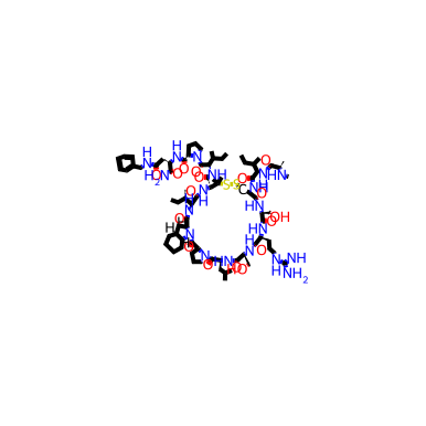 CCC(C)[C@H](NC(=O)[C@H](C)NC)C(=O)N[C@H]1CSSC(C)(C)[C@@H](C(=O)N[C@H](C(=O)N2CCC[C@H]2C(=O)N[C@@H](CC(=O)NCc2ccccc2)C(N)=O)C(C)CC)NC(=O)[C@H]([C@@H](C)CC)NC(=O)[C@@H]2C[C@@H]3CCCC[C@@H]3N2C(=O)C2CCCN2C(=O)[C@H](CC(C)C)NC(=O)[C@H](CO)NC(=O)[C@H](CCCNC(=N)N)NC(=O)[C@H](CO)NC1=O